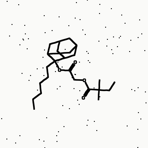 CCCCCCC1(OC(=O)COC(=O)C(C)(C)CC)C2CC3CC(C2)CC1C3